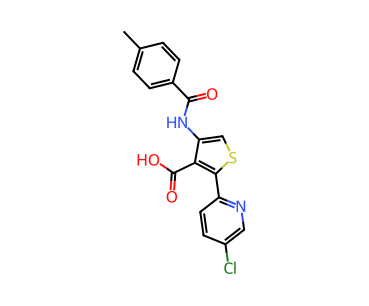 Cc1ccc(C(=O)Nc2csc(-c3ccc(Cl)cn3)c2C(=O)O)cc1